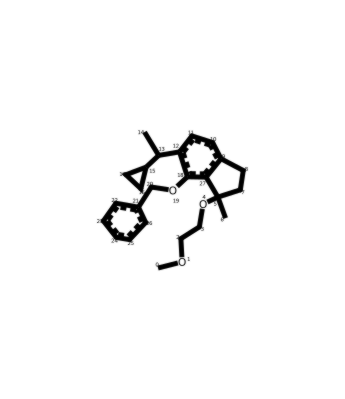 COCCOC1(C)CCc2ccc(C(C)C3CC3)c(OCc3ccccc3)c21